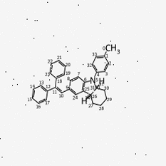 Cc1ccc(N2c3ccc(C=C(c4ccccc4)c4ccccc4)cc3[C@H]3CCCC[C@H]32)cc1